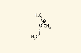 C=CCP(C)(=O)OCCCC